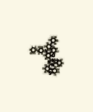 c1ccc(-c2ccc(N(c3ccc(-c4ccccc4)cc3)c3ccc(C4=NC(c5cccc6sc7ccccc7c56)=NC(c5ccccc5)N4)c4oc5ccccc5c34)cc2)cc1